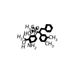 Cc1ccc(C(Cc2ccccc2)N(c2ccc(N)c(C(C)O)c2O)S(C)(=O)=O)cc1C